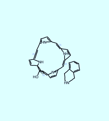 O=C(O)C12C=C/C(=C/c3ccc([nH]3)/C=c3/cc/c([nH]3)=C/C3=NC(=C\1)/C=C3)N2.c1ccc2c(c1)CCNC2